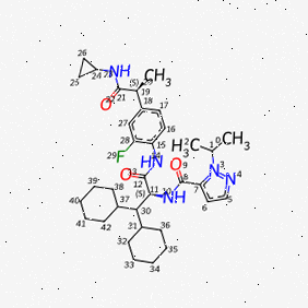 CC(C)n1nccc1C(=O)N[C@H](C(=O)Nc1ccc([C@H](C)C(=O)NC2CC2)cc1F)C(C1CCCCC1)C1CCCCC1